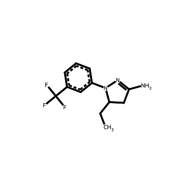 CCC1CC(N)=NN1c1cccc(C(F)(F)F)c1